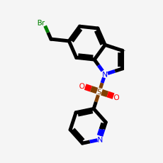 O=S(=O)(c1cccnc1)n1c[c]c2ccc(CBr)cc21